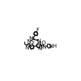 CCc1nc2ccc(-c3cnc(C(=O)NC4CCNCC4)nc3)cn2c1N(C)c1nc(-c2ccc(F)cc2)c(C#N)s1